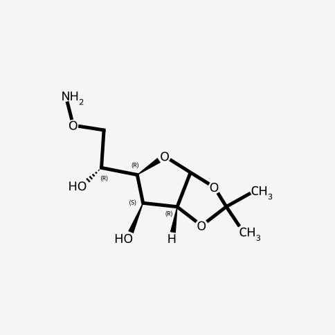 CC1(C)OC2O[C@H]([C@H](O)CON)[C@H](O)[C@H]2O1